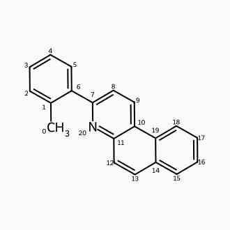 Cc1ccccc1-c1ccc2c(ccc3ccccc32)n1